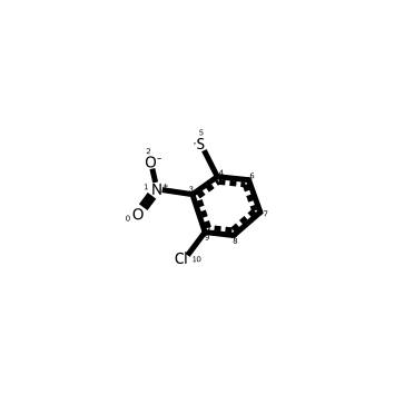 O=[N+]([O-])c1c([S])cccc1Cl